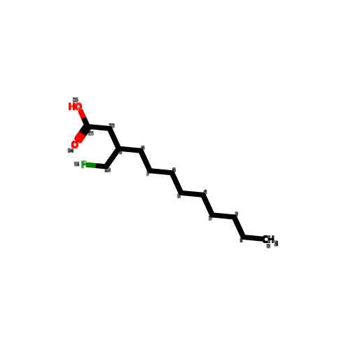 CCCCCCCCCC(CF)CC(=O)O